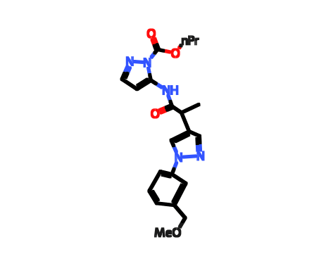 CCCOC(=O)n1nccc1NC(=O)C(C)c1cnn(-c2cccc(COC)c2)c1